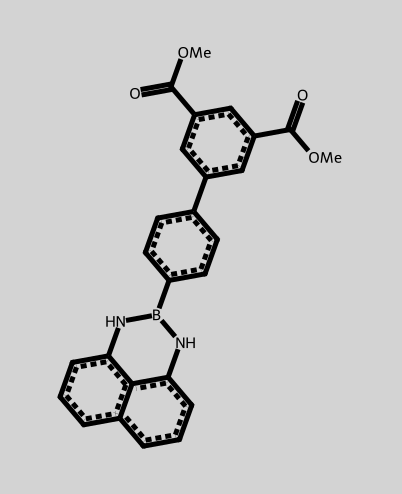 COC(=O)c1cc(C(=O)OC)cc(-c2ccc(B3Nc4cccc5cccc(c45)N3)cc2)c1